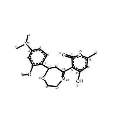 COc1cc(N(C)C)ccc1C1CC(c2c(O)cc(C)oc2=O)=NCCS1